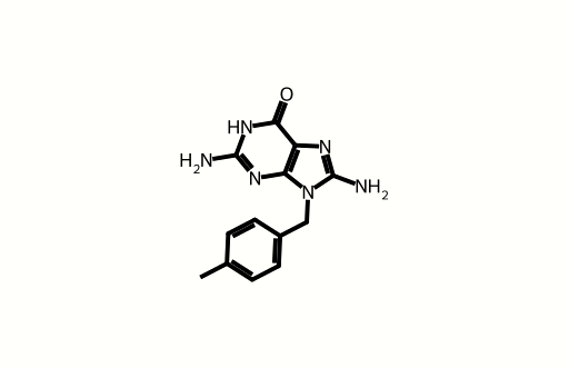 Cc1ccc(Cn2c(N)nc3c(=O)[nH]c(N)nc32)cc1